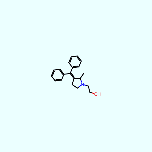 CC1C(=C(c2ccccc2)c2ccccc2)CCN1CCO